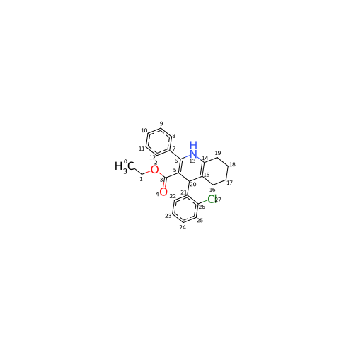 CCOC(=O)C1=C(c2ccccc2)NC2=C(CCCC2)C1c1ccccc1Cl